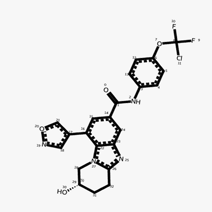 O=C(Nc1ccc(OC(F)(F)Cl)cc1)c1cc(-c2cnoc2)c2c(c1)nc1n2C[C@@H](O)CC1